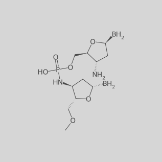 B[C@H]1C[C@H](NP(=O)(O)OC[C@H]2O[C@@H](B)C[C@@H]2N)[C@@H](COC)O1